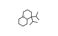 CC(C)C1(C(C)C)CCCN2CCCCC21